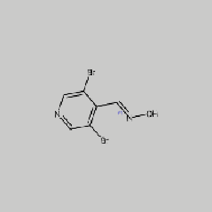 O/N=C/c1c(Br)cncc1Br